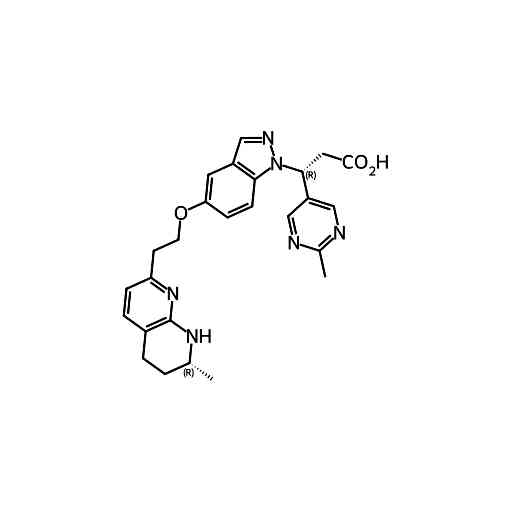 Cc1ncc([C@@H](CC(=O)O)n2ncc3cc(OCCc4ccc5c(n4)N[C@H](C)CC5)ccc32)cn1